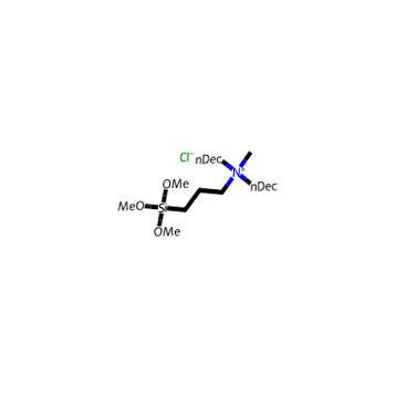 CCCCCCCCCC[N+](C)(CCCCCCCCCC)CCC[Si](OC)(OC)OC.[Cl-]